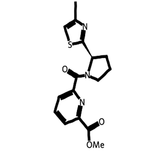 COC(=O)c1cccc(C(=O)N2CCC[C@@H]2c2nc(C)cs2)n1